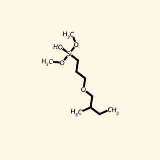 CCC(C)COCCC[Si](O)(OC)OC